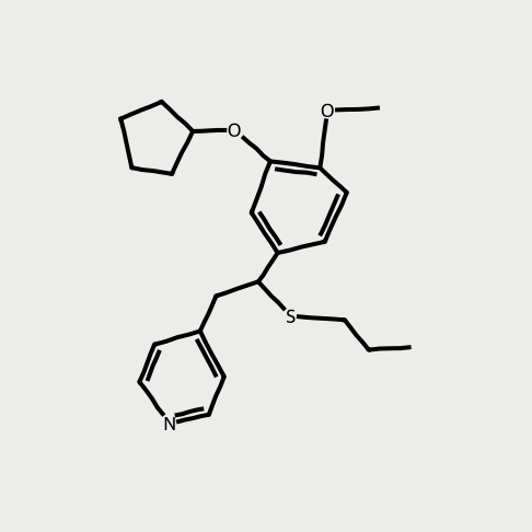 CCCSC(Cc1ccncc1)c1ccc(OC)c(OC2CCCC2)c1